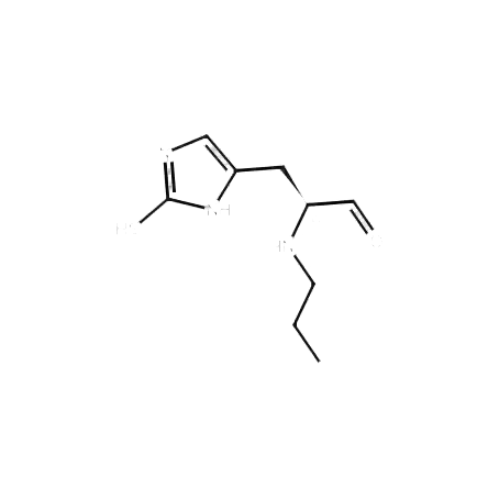 CCCN[C@H](C=O)Cc1cnc(S)[nH]1